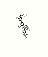 C[C@H](c1ccc(-c2ccc(OC(=O)O)c(F)c2)cc1Cl)[C@@](O)(c1ccc2oc(=O)n(C)c2c1)C(F)(F)F